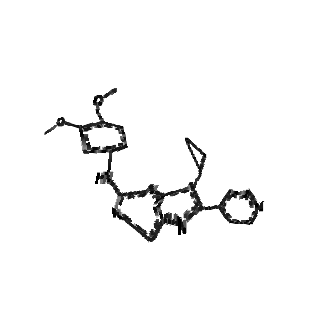 COc1ccc(Nc2ncc3nc(-c4ccncc4)n(C4CC4)c3n2)cc1OC